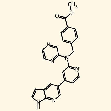 COC(=O)c1ccc(CN(c2cnccn2)c2cc(-c3cnc4[nH]ccc4c3)ccn2)cc1